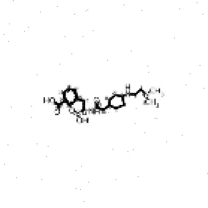 CN(C)CCNC1CCC(CC(=O)N[C@H]2Cc3cccc(C(=O)O)c3OB2O)CC1